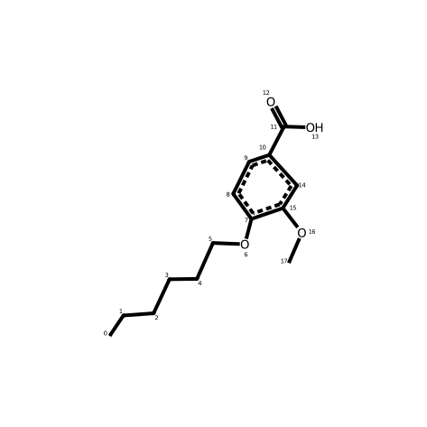 CCCCCCOc1ccc(C(=O)O)cc1OC